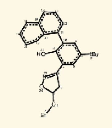 CCOC1CC(c2cc(C(C)(C)C)cc(-c3cccc4ccccc34)c2O)=NO1